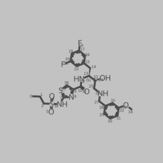 CCCS(=O)(=O)Nc1nc(C(=O)N[C@@H](Cc2cc(F)cc(F)c2)[C@@H](O)CNCc2cccc(OC)c2)cs1